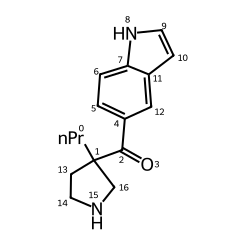 CCCC1(C(=O)c2ccc3[nH]ccc3c2)CCNC1